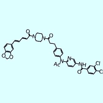 CC(=O)N(c1ccc(CCC(=O)N2CCN(C(=O)C=CC=Cc3ccc4c(c3)OCO4)CC2)cc1)c1ccc(NC(=O)c2ccc(Cl)c(Cl)c2)cn1